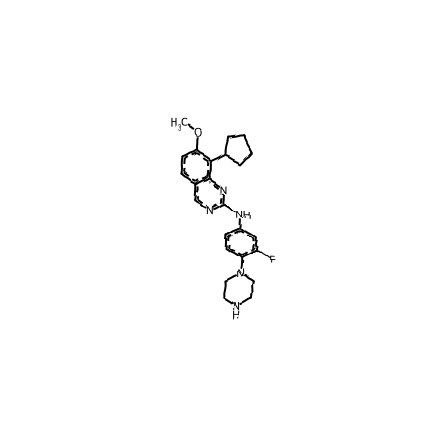 COc1ccc2cnc(Nc3ccc(N4CCNCC4)c(F)c3)nc2c1C1CCCC1